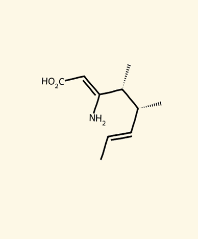 C/C=C/[C@@H](C)[C@@H](C)/C(N)=C/C(=O)O